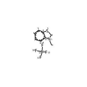 CN1CSc2ccccc21.F[B-](F)(F)F